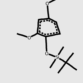 COc1ccc(O[Si](C)(C)C(C)(C)C)c(OC)c1